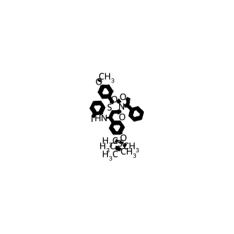 COc1ccc(CS[C@@H](C(=O)N2C(=O)OCC2c2ccccc2)[C@H](Nc2ccccc2I)c2ccc(O[Si](C)(C)C(C)(C)C)cc2)cc1